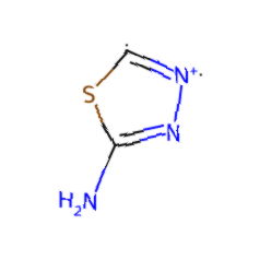 NC1=N[N+]=[C]S1